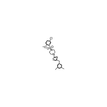 COc1ccc(Cl)cc1S(=O)(=O)N1CCN(c2nc(Cc3cc(C)cc(C)c3)cs2)CC1